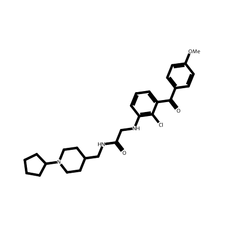 COc1ccc(C(=O)c2cccc(NCC(=O)NCC3CCN(C4CCCC4)CC3)c2Cl)cc1